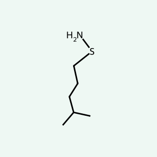 CC(C)CCCSN